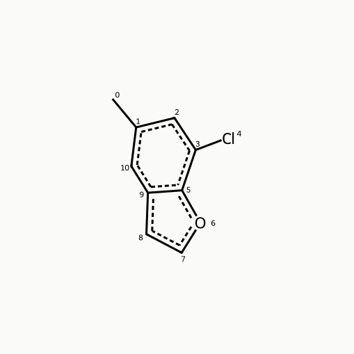 Cc1cc(Cl)c2occc2c1